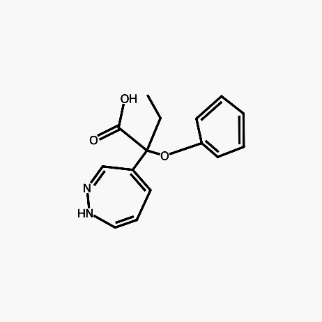 CCC(Oc1ccccc1)(C(=O)O)C1=CC=CNN=C1